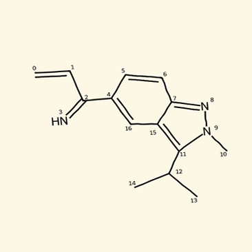 C=CC(=N)c1ccc2nn(C)c(C(C)C)c2c1